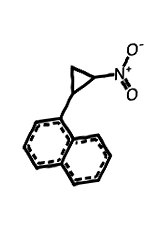 O=[N+]([O-])C1CC1c1cccc2ccccc12